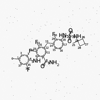 Cc1ccc(Nc2c(C(N)=O)cc(Cc3cccc(NS(=O)(=O)NC4(C)CCC4)c3F)c(F)c2F)c(F)c1